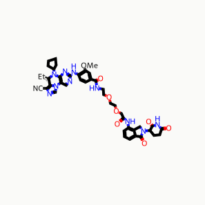 CC[C@@H]1c2c(C#N)ncn2-c2cnc(Nc3ccc(C(=O)NCCOCCOCC(=O)Nc4cccc5c4CN(C4CCC(=O)NC4=O)C5=O)cc3OC)nc2N1C1CCCC1